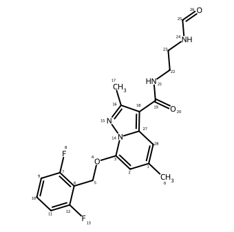 Cc1cc(OCc2c(F)cccc2F)n2nc(C)c(C(=O)NCCNC=O)c2c1